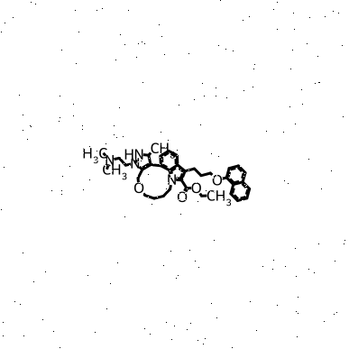 CCOC(=O)c1c(CCCOc2cccc3ccccc23)c2cccc3c2n1CCCCOCC1=C3C(C)NN1CCN(C)C